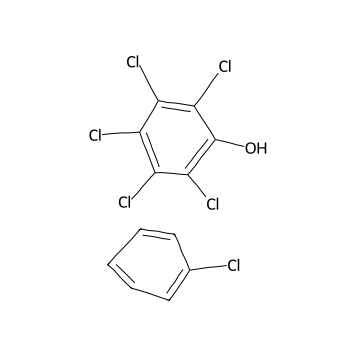 Clc1ccccc1.Oc1c(Cl)c(Cl)c(Cl)c(Cl)c1Cl